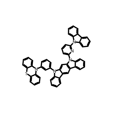 c1cc(N2c3ccccc3Sc3ccccc32)cc(-n2c3ccccc3c3cc4c5ccccc5n(-c5cccc(-n6c7ccccc7c7ccccc76)n5)c4cc32)c1